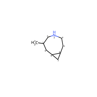 CC1CNCCC2CC2C1